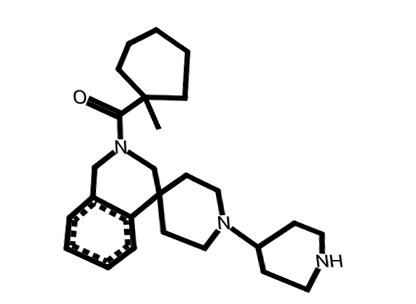 CC1(C(=O)N2Cc3ccccc3C3(CCN(C4CCNCC4)CC3)C2)CCCCC1